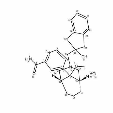 COC1(c2ccnc(C(N)=O)c2)[C@@H]2CCC[C@H]1CN(CC1(O)Cc3ccccc3C1)C2.Cl